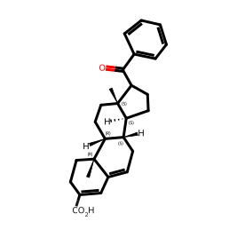 C[C@]12CCC(C(=O)O)=CC1=CC[C@@H]1[C@H]2CC[C@]2(C)C(C(=O)c3ccccc3)CC[C@@H]12